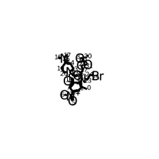 Cc1cc([N+](=O)[O-])cc(S(=O)(=O)N2CCC(N(C)C)CC2)c1N(CCBr)CCOS(C)(=O)=O